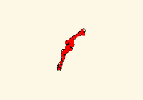 CCC1(COCCCCCOCc2ccc(-c3c4ccccc4c(-c4ccc(-c5ccc6c(c5)oc5ccc(COCCCCCOCC7(CC)COC7)cc56)c5ccccc45)c4ccccc34)cc2)COC1